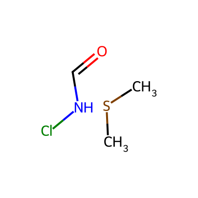 CSC.O=CNCl